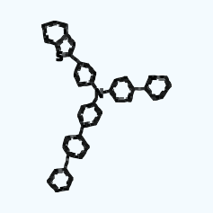 c1ccc(-c2ccc(-c3ccc(N(c4ccc(-c5ccccc5)cc4)c4ccc(-c5cc6ccccc6s5)cc4)cc3)cc2)cc1